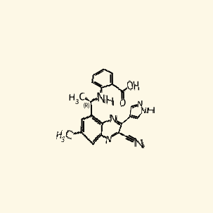 Cc1cc([C@@H](C)Nc2ccccc2C(=O)O)c2nc(-c3cn[nH]c3)c(C#N)nc2c1